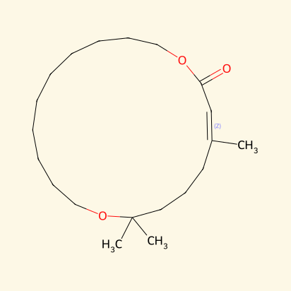 C/C1=C/C(=O)OCCCCCCCCCCOC(C)(C)CCC1